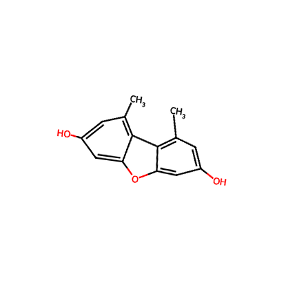 Cc1cc(O)cc2oc3cc(O)cc(C)c3c12